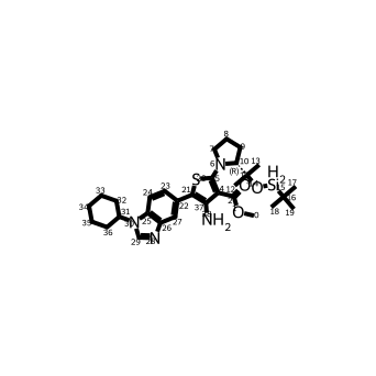 COC(=O)c1c(N2CCC[C@@H]2C(C)(C)O[SiH2]C(C)(C)C)sc(-c2ccc3c(c2)ncn3C2CCCCC2)c1N